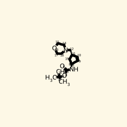 CC(C)(C)OC(=O)N[C@@H]1C=C[C@H](CN2CCOCC2)C1